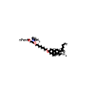 CCCCCOCC(COCCCCCCCCO[C@H]1CCC2(C)C(=CCC3[C@@H]2CCC2(C)[C@@H]([C@H](C)CCCC(C)C)CC[C@@H]32)C1)N(C)C